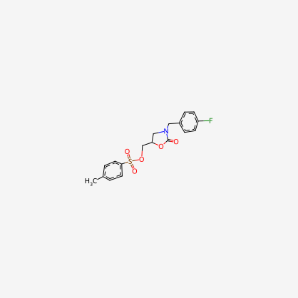 Cc1ccc(S(=O)(=O)OCC2CN(Cc3ccc(F)cc3)C(=O)O2)cc1